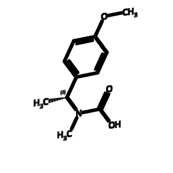 COc1ccc([C@@H](C)N(C)C(=O)O)cc1